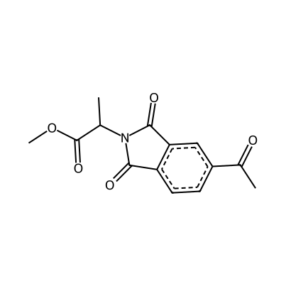 COC(=O)C(C)N1C(=O)c2ccc(C(C)=O)cc2C1=O